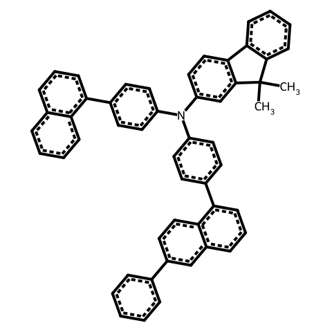 CC1(C)c2ccccc2-c2ccc(N(c3ccc(-c4cccc5ccccc45)cc3)c3ccc(-c4cccc5cc(-c6ccccc6)ccc45)cc3)cc21